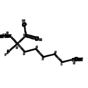 CCCCCCCCCCCCCCCC(F)(CCCCCC)C([O])=O